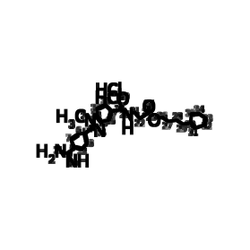 Cl.Cl.Cn1c(-c2ccc(C(=N)N)cc2)nc2cc(C(=O)NCCC(=O)OCCCCc3ccccc3)ccc21